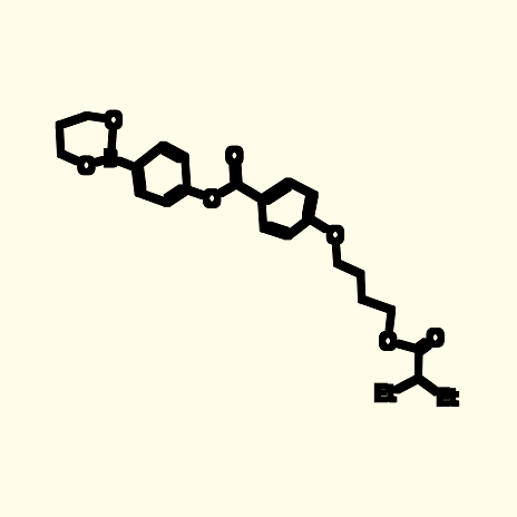 CCC(CC)C(=O)OCCCCOc1ccc(C(=O)Oc2ccc(B3OCCCO3)cc2)cc1